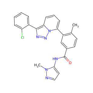 Cc1ccc(C(=O)Nc2ccnn2C)cc1-c1cccc2c(-c3ccccc3Cl)nnn12